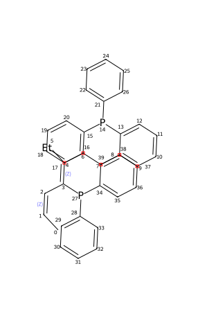 C/C=C\C(=C(/CC)CCc1ccccc1P(c1ccccc1)c1ccccc1)P(c1ccccc1)c1ccccc1